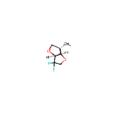 C[C@H]1CO[C@H]2[C@@H]1OCC2(F)F